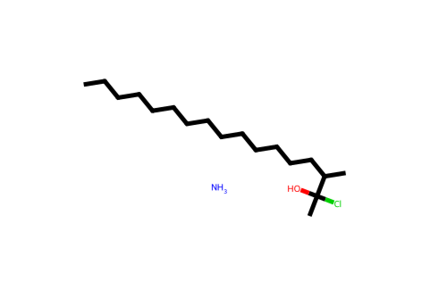 CCCCCCCCCCCCCCC(C)C(C)(O)Cl.N